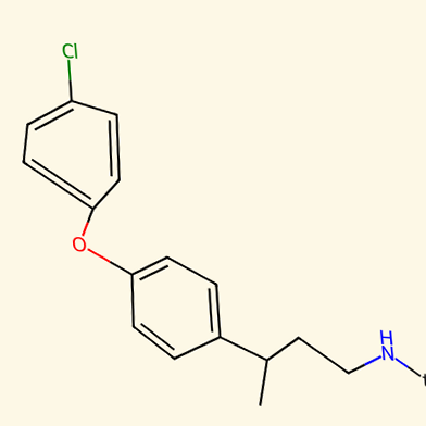 CC(CCNC(C)(C)C)c1ccc(Oc2ccc(Cl)cc2)cc1